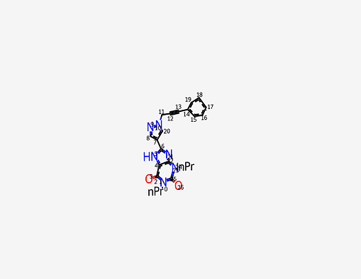 CCCn1c(=O)c2[nH]c(-c3cnn(CC#Cc4cc[c]cc4)c3)nc2n(CCC)c1=O